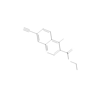 C#Cc1ccc2c(O)c(C(=O)OCC)cnc2c1